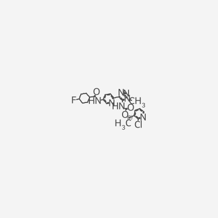 C[C@@H](OC(=O)Nc1c(-c2ccc(NC(=O)C3CCC(F)CC3)cn2)nnn1C)c1cccnc1Cl